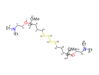 CCN(CC)CCO[Si](C)(CCCSSSSCCC[Si](C)(OC)OCCN(CC)CC)OC